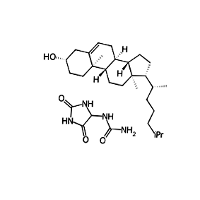 CC(C)CCC[C@@H](C)[C@H]1CC[C@H]2[C@@H]3CC=C4C[C@@H](O)CC[C@]4(C)[C@H]3CC[C@]12C.NC(=O)NC1NC(=O)NC1=O